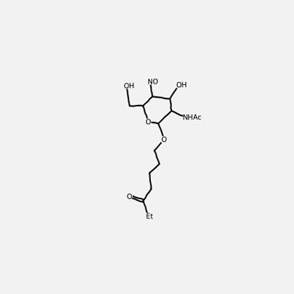 CCC(=O)CCCCOC1OC(CO)C(N=O)C(O)C1NC(C)=O